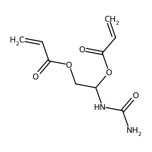 C=CC(=O)OCC(NC(N)=O)OC(=O)C=C